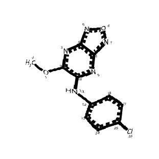 COc1nc2nonc2nc1Nc1ccc(Cl)cc1